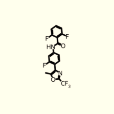 Cc1oc(C(F)(F)F)nc1-c1ccc(NC(=O)c2c(F)cccc2F)cc1F